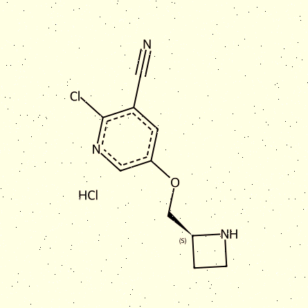 Cl.N#Cc1cc(OC[C@@H]2CCN2)cnc1Cl